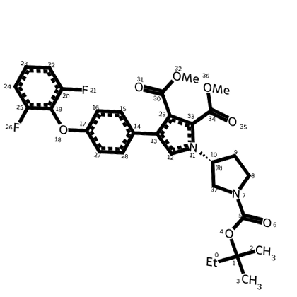 CCC(C)(C)OC(=O)N1CC[C@@H](n2cc(-c3ccc(Oc4c(F)cccc4F)cc3)c(C(=O)OC)c2C(=O)OC)C1